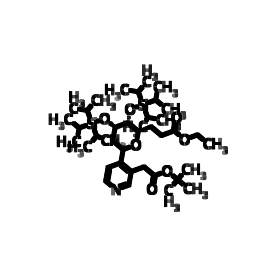 CCOC(=O)CC[C@H]1OC(c2ccncc2CC(=O)OC(C)(C)C)C[C@@H](O[Si](C(C)C)(C(C)C)C(C)C)[C@@H]1O[Si](C(C)C)(C(C)C)C(C)C